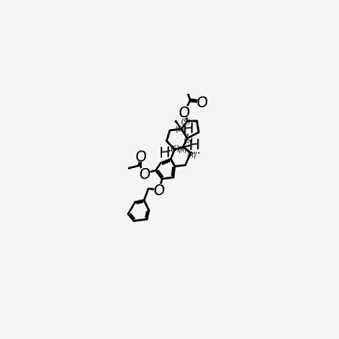 CC(=O)Oc1cc2c(cc1OCc1ccccc1)C[C@@H](C)[C@@H]1[C@@H]2CC[C@]2(C)[C@@H](OC(C)=O)CC[C@@H]12